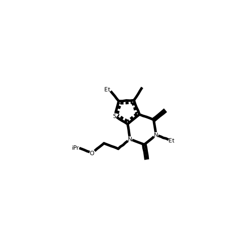 C=C1c2c(sc(CC)c2C)N(CCOC(C)C)C(=C)N1CC